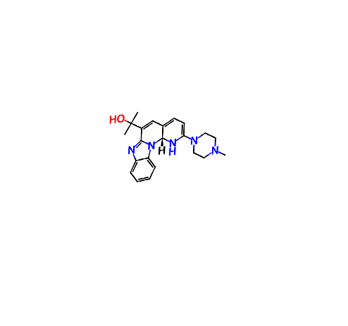 CN1CCN(C2=CC=C3C=C(C(C)(C)O)c4nc5ccccc5n4[C@H]3N2)CC1